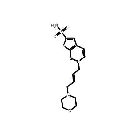 NS(=O)(=O)c1cc2c(s1)SN(C/C=C/CN1CCOCC1)C=C2